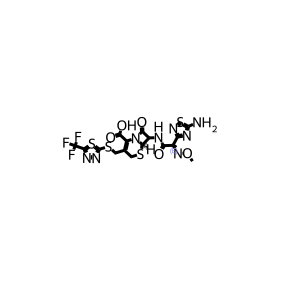 CO/N=C(/C(=O)NC1C(=O)N2C(C(=O)O)=C(CSc3nnc(C(F)(F)F)s3)CS[C@H]12)c1nsc(N)n1